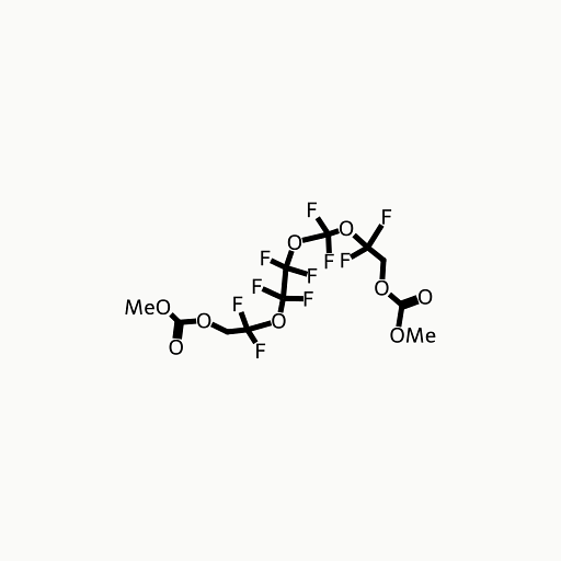 COC(=O)OCC(F)(F)OC(F)(F)OC(F)(F)C(F)(F)OC(F)(F)COC(=O)OC